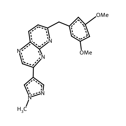 COc1cc(Cc2ccc3ncc(-c4cnn(C)c4)nc3n2)cc(OC)c1